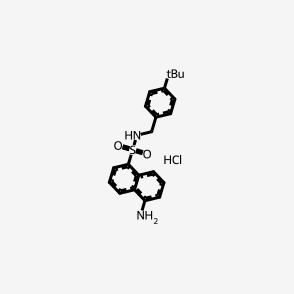 CC(C)(C)c1ccc(CNS(=O)(=O)c2cccc3c(N)cccc23)cc1.Cl